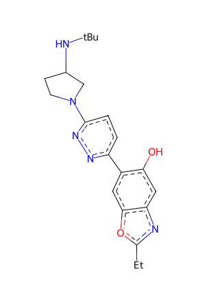 CCc1nc2cc(O)c(-c3ccc(N4CCC(NC(C)(C)C)C4)nn3)cc2o1